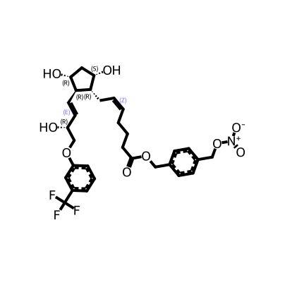 O=C(CCC/C=C\C[C@@H]1[C@@H](/C=C/[C@@H](O)COc2cccc(C(F)(F)F)c2)[C@H](O)C[C@@H]1O)OCc1ccc(CO[N+](=O)[O-])cc1